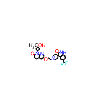 CC1(O)CC(N2C(=O)CCc3cc(OCCN4CCC5(CC4)C(=O)Nc4ccc(C(F)F)cc45)cnc32)C1